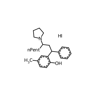 CCCCCC(CC(c1ccccc1)c1cc(C)ccc1O)N1CCCC1.I